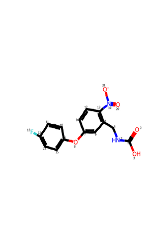 O=C(O)NCc1cc(Oc2ccc(F)cc2)ccc1[N+](=O)[O-]